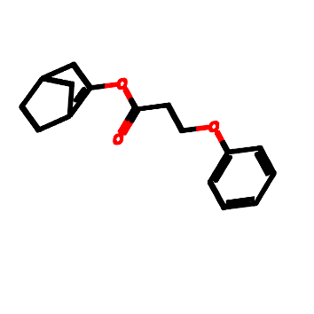 O=C(CCOc1ccccc1)OC1=C2CCC(C2)C1